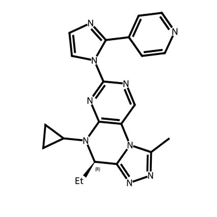 CC[C@@H]1c2nnc(C)n2-c2cnc(-n3ccnc3-c3ccncc3)nc2N1C1CC1